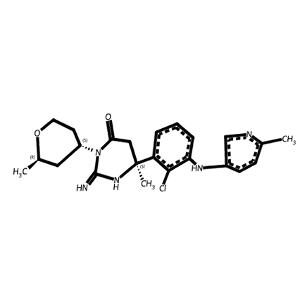 Cc1ccc(Nc2cccc([C@]3(C)CC(=O)N([C@H]4CCO[C@H](C)C4)C(=N)N3)c2Cl)cn1